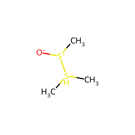 C[S+]([O-])[SH](C)C